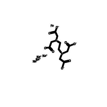 O=C([O-])CN(CCN(CC(=O)[O-])CC(=O)[O-])CC(=O)[O-].[Fe].[Na+].[Na+].[Na+].[Na+]